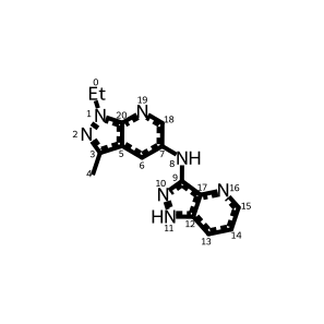 CCn1nc(C)c2cc(Nc3n[nH]c4cccnc34)cnc21